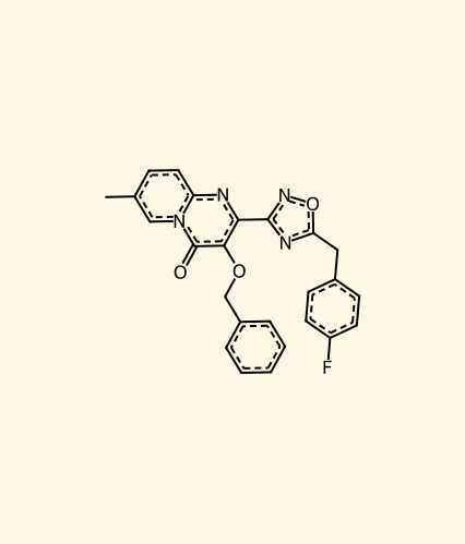 Cc1ccc2nc(-c3noc(Cc4ccc(F)cc4)n3)c(OCc3ccccc3)c(=O)n2c1